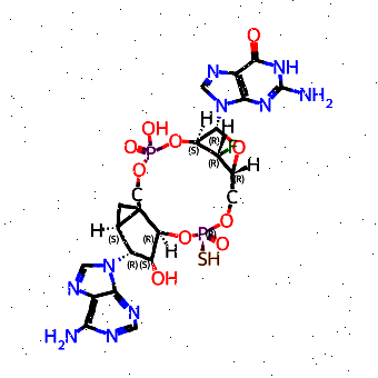 Nc1nc2c(ncn2[C@@H]2O[C@@H]3CO[P@@](=O)(S)O[C@H]4[C@@H](O)[C@H](n5cnc6c(N)ncnc65)[C@H]5CC54COP(=O)(O)O[C@@H]2[C@@H]3F)c(=O)[nH]1